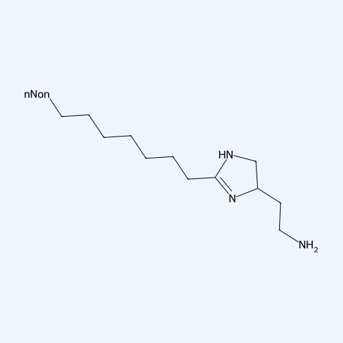 CCCCCCCCCCCCCCCCC1=NC(CCN)CN1